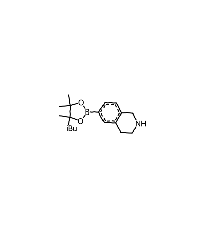 CCC(C)C1(C)OB(c2ccc3c(c2)CCNC3)OC1(C)C